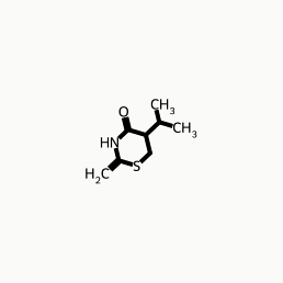 C=C1NC(=O)C(C(C)C)CS1